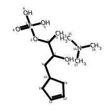 CC(OP(=O)(O)O)C(O)CC1CC=CC1.CN(C)C